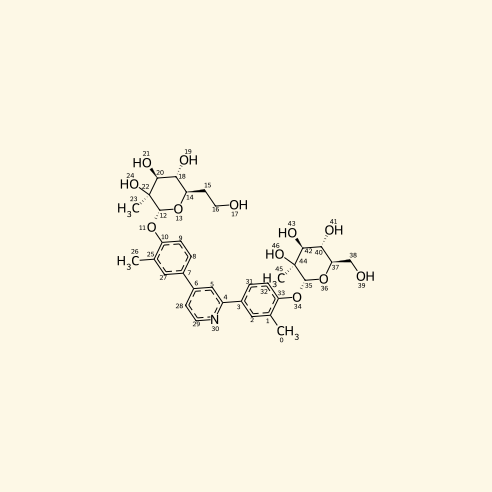 Cc1cc(-c2cc(-c3ccc(O[C@H]4O[C@H](CCO)[C@@H](O)[C@H](O)[C@]4(C)O)c(C)c3)ccn2)ccc1O[C@H]1O[C@H](CO)[C@@H](O)[C@H](O)[C@]1(C)O